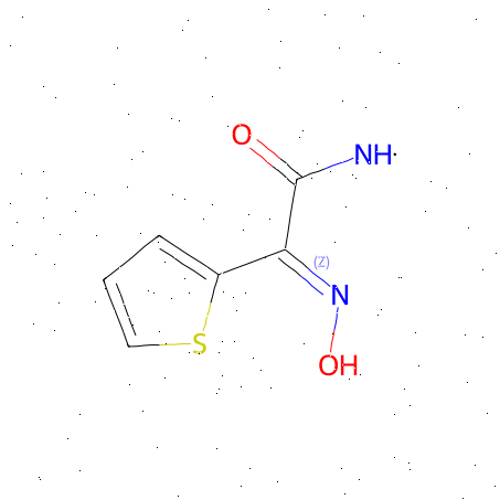 [NH]C(=O)/C(=N/O)c1cccs1